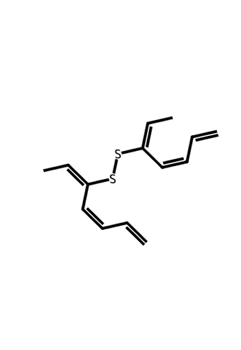 C=C/C=C\C(=C/C)SSC(/C=C\C=C)=C/C